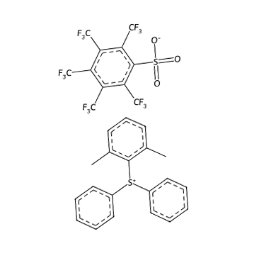 Cc1cccc(C)c1[S+](c1ccccc1)c1ccccc1.O=S(=O)([O-])c1c(C(F)(F)F)c(C(F)(F)F)c(C(F)(F)F)c(C(F)(F)F)c1C(F)(F)F